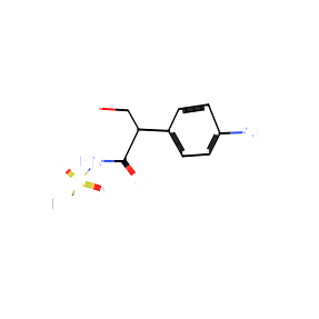 CS(=O)(=O)NC(=O)C(CO)c1ccc(N)cc1